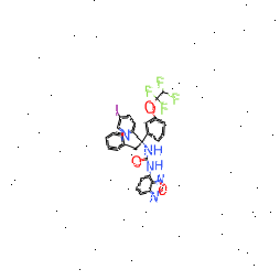 O=C(Nc1cccc2nonc12)N[C@@](Cc1ccccc1)(c1cccc(OC(F)(F)C(F)F)c1)c1ccc(I)cn1